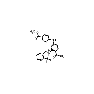 COC(=O)c1ccc(Nc2cc(NCc3cnccc3C(F)(F)F)c(C(N)=O)cn2)nc1